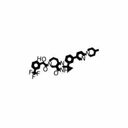 CC1CCN(c2ccc(-c3cccc(C4(c5nc6c(c(=O)[nH]5)CN(C(=O)[C@H](O)c5cccc(C(F)(F)F)c5)CCC6)CC4)c3)cn2)CC1